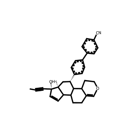 CC#C[C@]1(O)C=CC2C3CCC4=COCCC4C3[C@@H](c3ccc(-c4ccc(C#N)cc4)cc3)C[C@@]21C